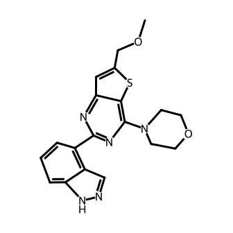 COCc1cc2nc(-c3cccc4[nH]ncc34)nc(N3CCOCC3)c2s1